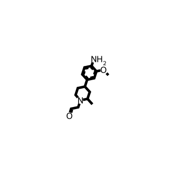 COc1cc(C2CCN(CC=O)C(C)C2)ccc1N